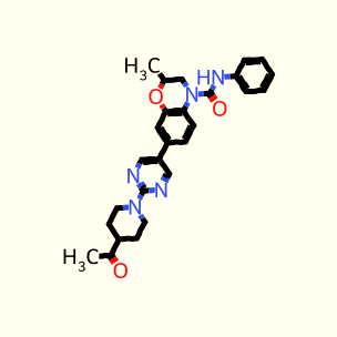 CC(=O)C1CCN(c2ncc(-c3ccc4c(c3)OC(C)CN4C(=O)Nc3ccccc3)cn2)CC1